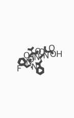 Cc1oc([C@@H](Cc2cn(C)c3ccccc23)NC(=O)[C@@H](C(=O)ON2CCc3c(F)cccc32)C(C)C)nc1C(=O)O